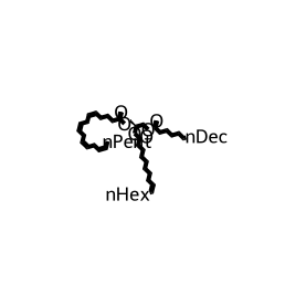 CCCCC/C=C\C/C=C\C/C=C\C/C=C\CCCC(=O)OC[C@@H](COC(=O)CCCCCCCCCCCCCCC)OC(=O)CCCCCCC/C=C\CCCCCC